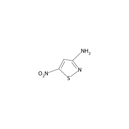 Nc1cc([N+](=O)[O-])sn1